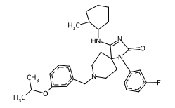 CC(C)Oc1cccc(CN2CCC3(CC2)C(NC2CCCCC2C)=NC(=O)N3c2cccc(F)c2)c1